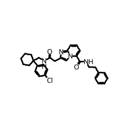 O=C(Cc1cn2c(C(=O)NCCc3ccccc3)cccc2n1)NCC1(c2ccc(Cl)cc2)CCCCC1